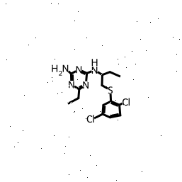 CCc1nc(N)nc(NC(CC)CSc2cc(Cl)ccc2Cl)n1